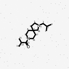 CC(C)CN1CCC2(CCN(C(=O)C(C)C)CC2)C1